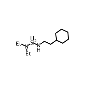 CCN(CC)[SiH2]NCCC1CCCCC1